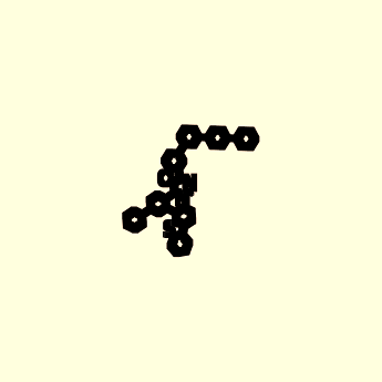 c1ccc(-c2ccc(-c3cccc(-c4ccc5oc6c(-c7ccc(-c8ccccc8)cc7-c7cccc8c7sc7ccccc78)ncnc6c5c4)c3)cc2)cc1